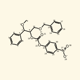 COC(c1ccccc1)C(COCc1ccccc1)OC(=O)Oc1ccc([N+](=O)[O-])cc1